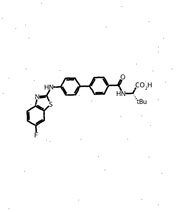 CC(C)(C)[C@H](NC(=O)c1ccc(-c2ccc(Nc3nc4ccc(F)cc4s3)cc2)cc1)C(=O)O